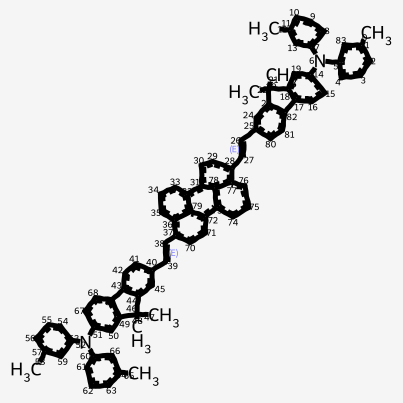 Cc1cccc(N(c2cccc(C)c2)c2ccc3c(c2)C(C)(C)c2cc(/C=C/c4ccc5c6cccc7c(/C=C/c8ccc9c(c8)C(C)(C)c8cc(N(c%10cccc(C)c%10)c%10cccc(C)c%10)ccc8-9)ccc(c8cccc4c85)c76)ccc2-3)c1